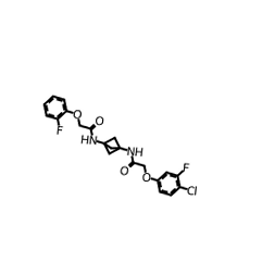 O=C(COc1ccc(Cl)c(F)c1)NC12CC(NC(=O)COc3ccccc3F)(C1)C2